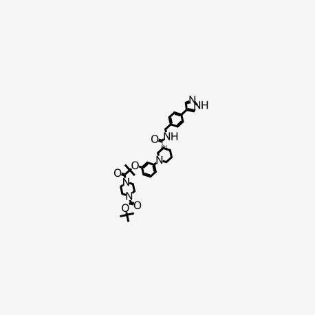 CC(C)(C)OC(=O)N1CCN(C(=O)C(C)(C)Oc2cccc(N3CCC[C@@H](C(=O)NCc4ccc(-c5cn[nH]c5)cc4)C3)c2)CC1